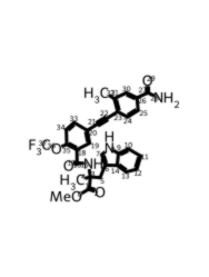 COC(=O)C(C)(Cc1c[nH]c2ccccc12)NC(=O)c1cc(C#Cc2ccc(C(N)=O)cc2C)ccc1OC(F)(F)F